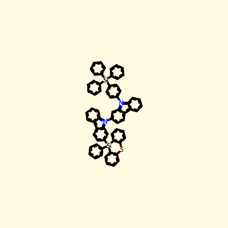 c1ccc([Si](c2ccccc2)(c2ccccc2)c2ccc(-n3c4ccccc4c4ccc(-n5c6ccccc6c6ccc([Si]7(c8ccccc8)c8ccccc8Sc8ccccc87)cc65)cc43)cc2)cc1